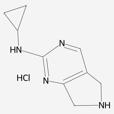 Cl.c1nc(NC2CC2)nc2c1CNC2